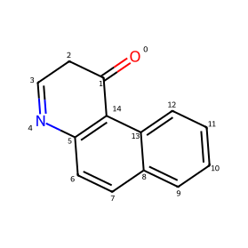 O=C1CC=Nc2ccc3ccccc3c21